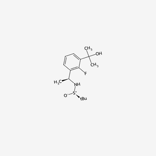 C[C@H](N[S@+]([O-])C(C)(C)C)c1cccc(C(C)(C)O)c1F